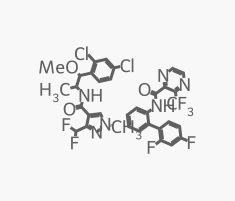 COC(c1ccc(Cl)cc1Cl)C(C)NC(=O)c1cn(C)nc1C(F)F.O=C(Nc1ccccc1-c1ccc(F)cc1F)c1nccnc1C(F)(F)F